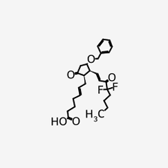 CCCCC(F)(F)C(=O)C=C[C@@H]1[C@H](OCc2ccccc2)CC(=O)[C@@H]1CC=CCCCC(=O)O